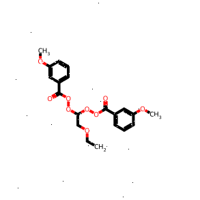 [CH2]COC[C](OOC(=O)c1cccc(OC)c1)OOC(=O)c1cccc(OC)c1